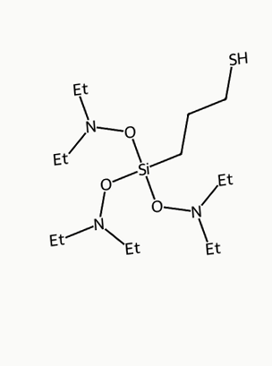 CCN(CC)O[Si](CCCS)(ON(CC)CC)ON(CC)CC